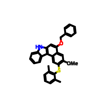 COc1cc2c(OCc3ccccc3)cc3[nH]c4ccccc4c3c2cc1Sc1c(C)cccc1C